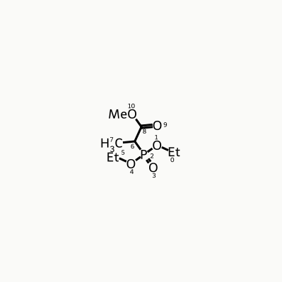 CCOP(=O)(OCC)C(C)C(=O)OC